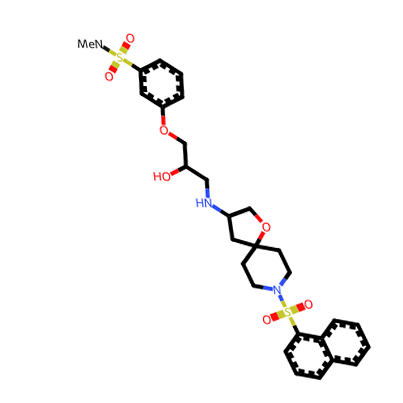 CNS(=O)(=O)c1cccc(OCC(O)CNC2COC3(CCN(S(=O)(=O)c4cccc5ccccc45)CC3)C2)c1